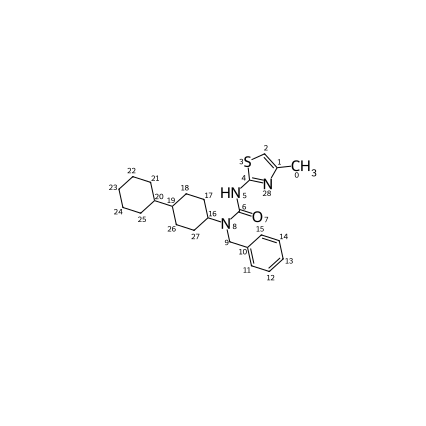 Cc1csc(NC(=O)N(Cc2ccccc2)C2CCC(C3CCCCC3)CC2)n1